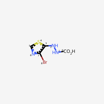 O=C(O)NNc1scnc1Br